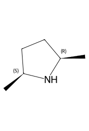 C[C@@H]1CC[C@H](C)N1